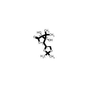 CC1(C)OC[C@H]([C@@H]2OC(=O)[C@@]3(O)C(C)(C)[C@@]23O)O1